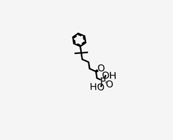 CC(C)(CCCC(=O)CP(=O)(O)O)c1ccccc1